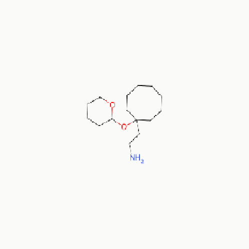 NCCC1(OC2CCCCO2)CCCCCCC1